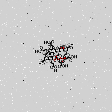 CN(CCC(=O)O)CC(=O)N(CCC(=O)O)CC(=O)N(CCC(=O)O)CC(=O)N(CCC(=O)O)CC(=O)N(CCC(=O)O)CC(=O)N(CCC(=O)O)CC(=O)N(CCC(=O)O)CC(=O)N(CCC(=O)O)CC(=O)N(CCC(=O)O)CC(=O)N(CCC(=O)O)CC(N)=O